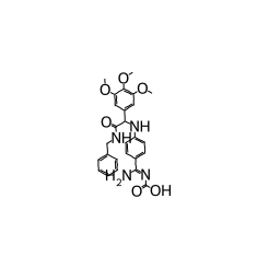 COc1cc(C(Nc2ccc(/C(N)=N/C(=O)O)cc2)C(=O)NCc2ccccc2)cc(OC)c1OC